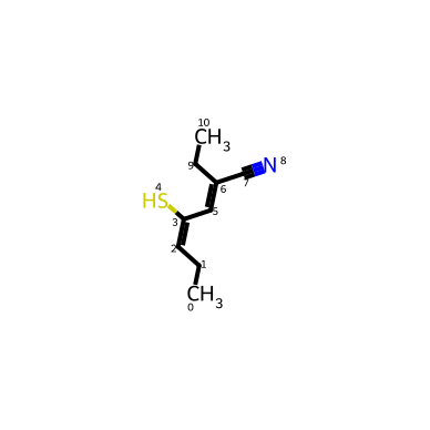 CC/C=C(S)\C=C(\C#N)CC